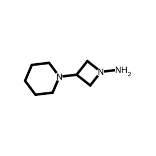 NN1CC(N2CCCCC2)C1